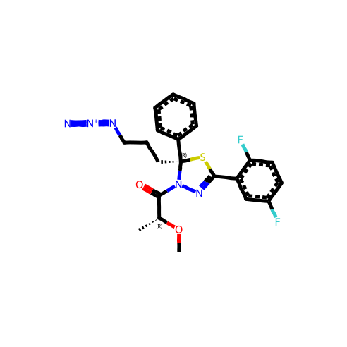 CO[C@H](C)C(=O)N1N=C(c2cc(F)ccc2F)S[C@]1(CCCN=[N+]=[N-])c1ccccc1